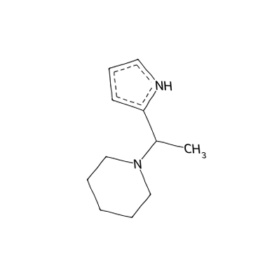 CC(c1ccc[nH]1)N1CCCCC1